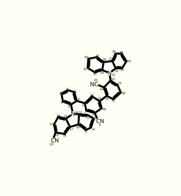 N#Cc1cc(-c2ccccc2-n2c3ccccc3c3cc(C#N)ccc32)cc(-c2cccc(-n3c4ccccc4c4ccccc43)c2C#N)c1